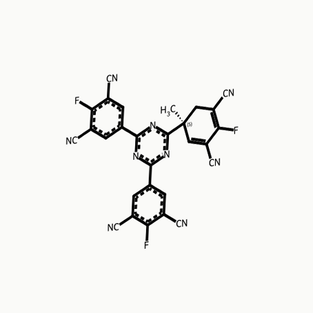 C[C@@]1(c2nc(-c3cc(C#N)c(F)c(C#N)c3)nc(-c3cc(C#N)c(F)c(C#N)c3)n2)C=C(C#N)C(F)=C(C#N)C1